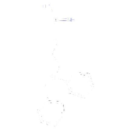 N=C(N)OCCCP1(=O)Oc2ccccc2-c2ccccc21